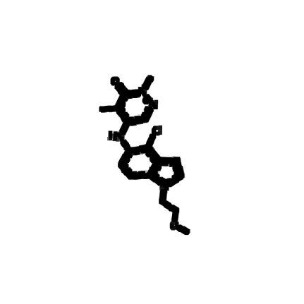 COCCn1ccc2c(Cl)c(Nc3cnn(C)c(=O)c3C)ccc21